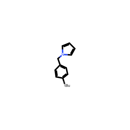 CC(C)(C)c1ccc(Cn2cccc2)cc1